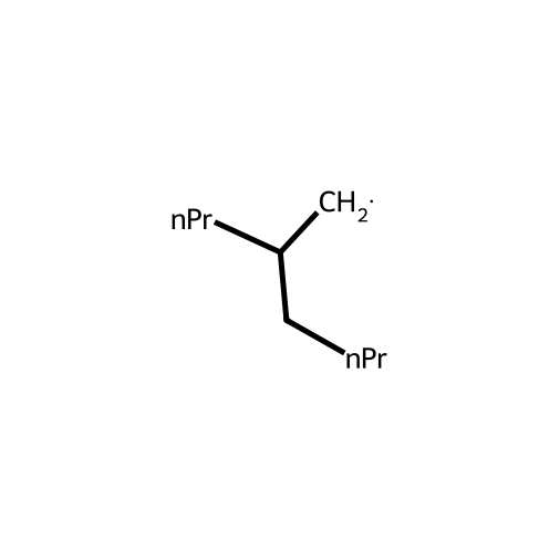 [CH2]CCCC([CH2])CCC